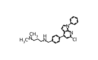 CN(C)CCCNCc1ccc(-c2cc(Cl)nc3c2ccn3-c2ccccc2)cc1